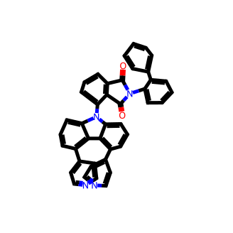 O=C1c2cccc(-n3c4cccc(-c5ccncc5)c4c4c(-c5ccncc5)cccc43)c2C(=O)N1c1ccccc1-c1ccccc1